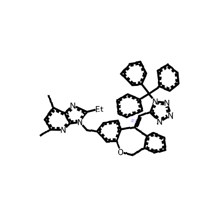 CCc1nc2c(C)cc(C)nc2n1Cc1ccc2c(c1)OCc1ccccc1/C2=C\c1nnnn1C(c1ccccc1)(c1ccccc1)c1ccccc1